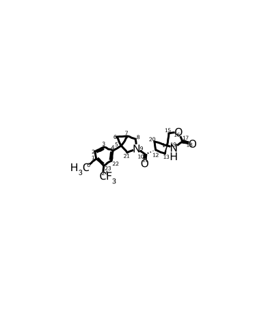 Cc1ccc(C23CC2CN(C(=O)[C@H]2C[C@]4(COC(=O)N4)C2)C3)cc1C(F)(F)F